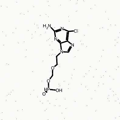 Nc1nc(Cl)c2ncn(CCOCO[PH](=O)O)c2n1